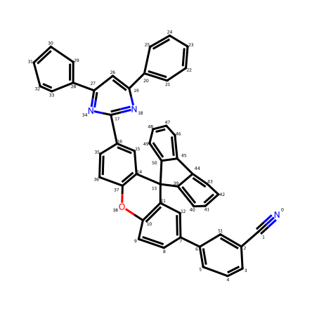 N#Cc1cccc(-c2ccc3c(c2)C2(c4cc(-c5nc(-c6ccccc6)cc(-c6ccccc6)n5)ccc4O3)c3ccccc3-c3ccccc32)c1